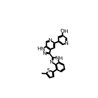 Cc1ccc(-c2cccc3[nH]c(-c4n[nH]c5cnc(-c6cncc(O)c6)cc45)nc23)s1